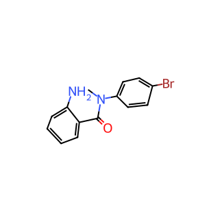 CN(C(=O)c1ccccc1N)c1ccc(Br)cc1